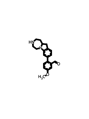 COc1ccc(-c2ccc3c(c2)N2CCNCCC2C3)c(C=O)c1